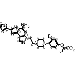 CC(Oc1ccc(N2CCN(CCn3ncc4c3nc(N)n3nc(-c5ccco5)nc43)CC2)c(F)c1)C(=O)O